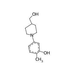 Cc1ccc(N2CCC(CO)CC2)cc1O